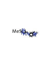 CSc1ncc(CNc2ccc3nn(C)cc3c2)cn1